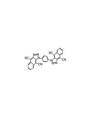 N#Cc1c2ccccc2c(C#N)c2c1nnn2-c1ccc(-n2nnc3c(C#N)c4ccccc4c(C#N)c32)cc1